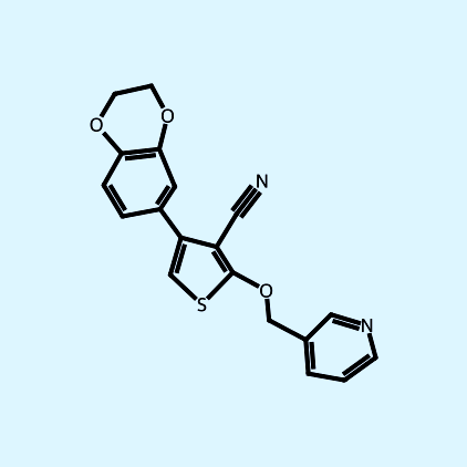 N#Cc1c(-c2ccc3c(c2)OCCO3)csc1OCc1cccnc1